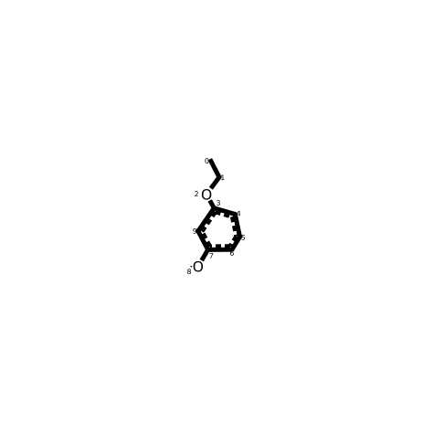 CCOc1cccc([O])c1